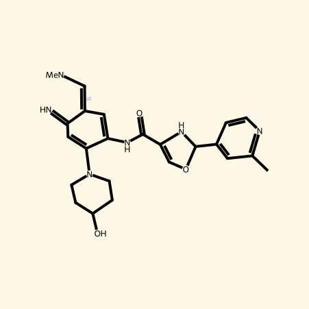 CN/C=C1/C=C(NC(=O)C2=COC(c3ccnc(C)c3)N2)C(N2CCC(O)CC2)=CC1=N